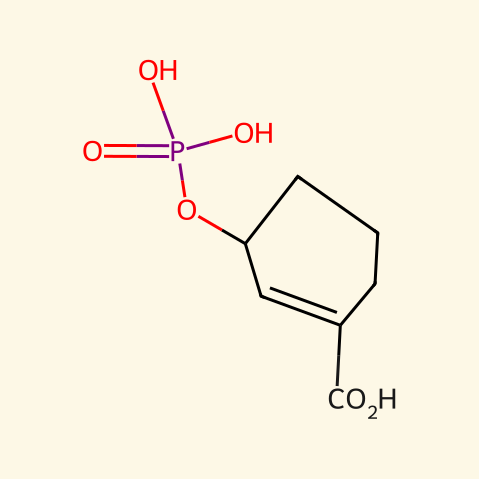 O=C(O)C1=CC(OP(=O)(O)O)CCC1